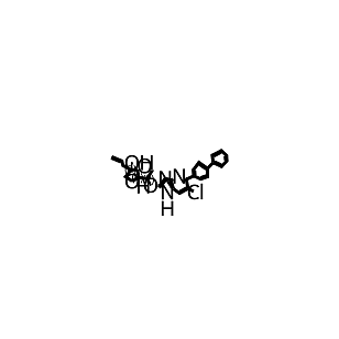 C=CC[C@@]1(O)CO[C@H]2C1OC[C@H]2Oc1nc2nc(-c3ccc(-c4ccccc4)cc3)c(Cl)cc2[nH]1